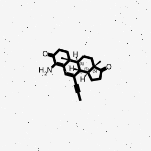 CC#CC1=CC2=C(N)C(=O)CC[C@]2(C)[C@H]2CC[C@]3(C)C(=O)CC[C@H]3[C@H]12